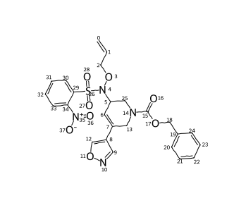 C=CCON(C1C=C(c2cnoc2)CN(C(=O)OCc2ccccc2)C1)S(=O)(=O)c1ccccc1[N+](=O)[O-]